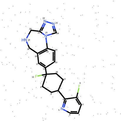 Fc1cccnc1C1CCC(F)(c2ccc3c(c2)CNCc2nncn2-3)CC1